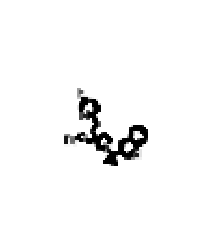 CCOCC1(CCc2ccc(F)cn2)CCN(C2(c3cnc4ccccc4c3)CC2)C1